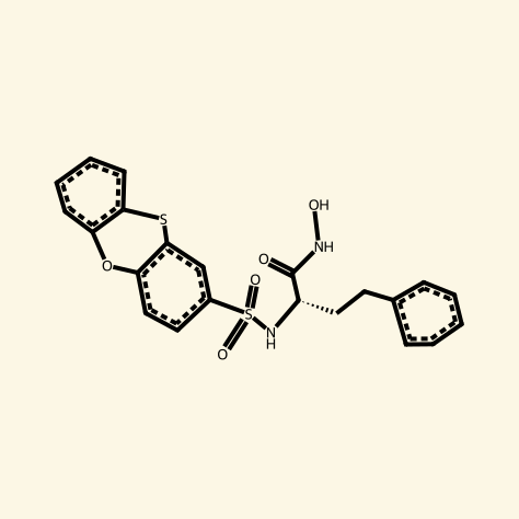 O=C(NO)[C@H](CCc1ccccc1)NS(=O)(=O)c1ccc2c(c1)Sc1ccccc1O2